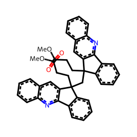 COC(=O)CCC1(CC2(CCC(=O)OC)c3ccccc3-c3nc4ccccc4cc32)c2ccccc2-c2nc3ccccc3cc21